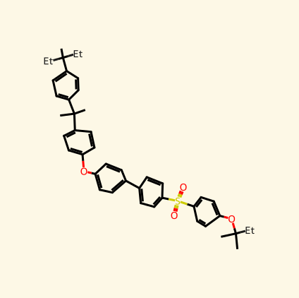 CCC(C)(C)Oc1ccc(S(=O)(=O)c2ccc(-c3ccc(Oc4ccc(C(C)(C)c5ccc(C(C)(CC)CC)cc5)cc4)cc3)cc2)cc1